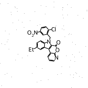 CCc1ccc2c(c1)c1c3cccnc3oc(=O)c1n2Cc1cc([N+](=O)[O-])ccc1Cl